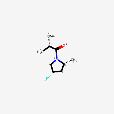 CN[C@@H](C)C(=O)N1C[C@@H](F)C[C@H]1C